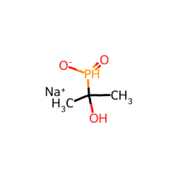 CC(C)(O)[PH](=O)[O-].[Na+]